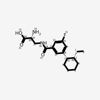 CC[C@@H]1CCCC[C@@H]1c1cc(F)cc(C(=O)NC[C@@H](N)C(=O)O)c1